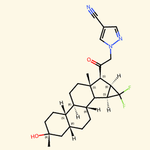 C[C@@]1(O)CC[C@H]2[C@H](CC[C@H]3C4[C@H]5[C@@H]([C@H](C(=O)Cn6cc(C#N)cn6)[C@@]4(C)CC[C@H]23)C5(F)F)C1